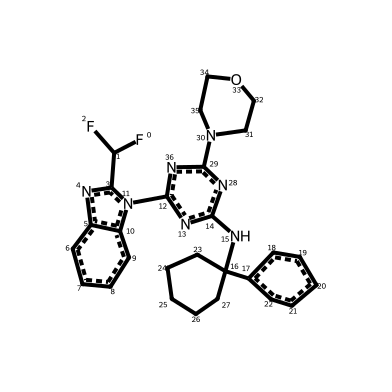 FC(F)c1nc2ccccc2n1-c1nc(NC2(c3ccccc3)CCCCC2)nc(N2CCOCC2)n1